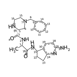 CC(NC(=O)[C@H]1CN(Cc2ccccc2)CCN1)C(=O)NC1CCc2nc(N)ccc21